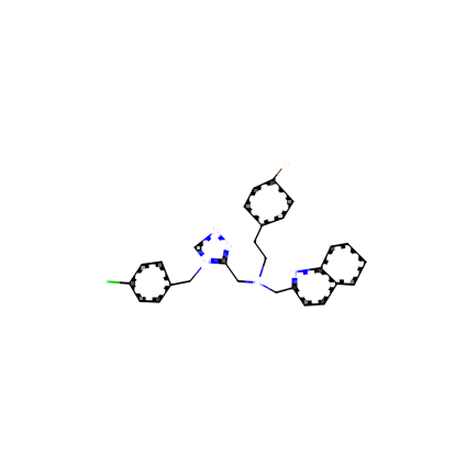 Clc1ccc(Cn2cnnc2CN(CCc2ccc(Br)cc2)Cc2ccc3ccccc3n2)cc1